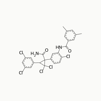 Cc1cc(C)cc(C(=O)Nc2cc(C3(C(N)=O)C(c4cc(Cl)cc(Cl)c4)C3(Cl)Cl)ccc2Cl)c1